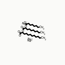 CCCCCCCC(=O)[O-].CCCCCCCCCC(=O)[O-].CCCCCCCCCCCC(=O)[O-].[Na+].[Na+].[Na+]